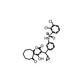 O=C1CCCCCc2oc(=O)c(C(c3cccc(NS(=O)(=O)c4cccc(Cl)c4Cl)c3)C3CC3)c(O)c21